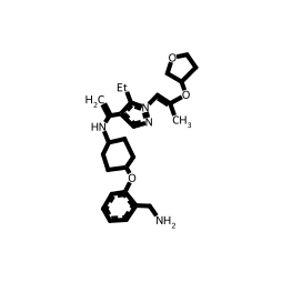 C=C(NC1CCC(Oc2ccccc2CN)CC1)c1cnn(/C=C(\C)OC2CCOC2)c1CC